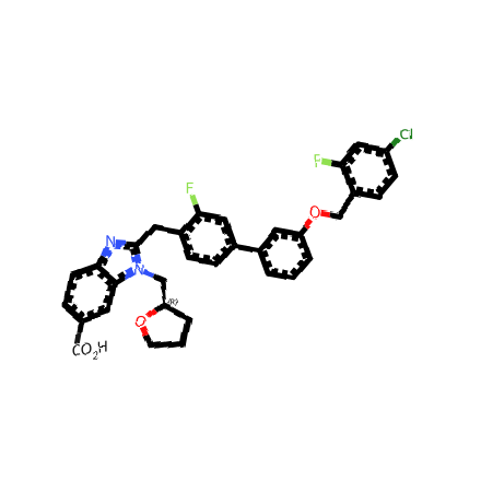 O=C(O)c1ccc2nc(Cc3ccc(-c4cccc(OCc5ccc(Cl)cc5F)c4)cc3F)n(C[C@H]3CCCO3)c2c1